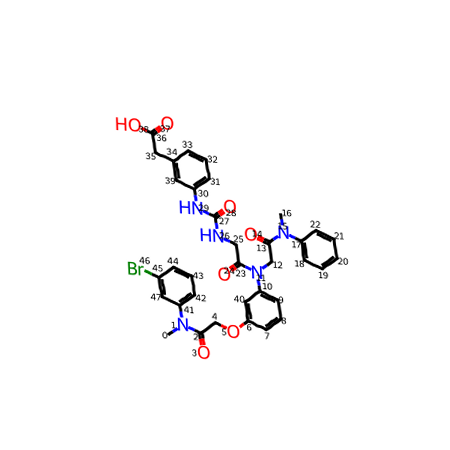 CN(C(=O)COc1cccc(N(CC(=O)N(C)c2ccccc2)C(=O)CNC(=O)Nc2cccc(CC(=O)O)c2)c1)c1cccc(Br)c1